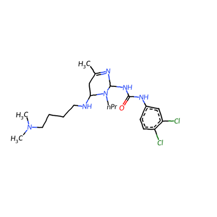 CCCN1C(NCCCCN(C)C)CC(C)=NC1NC(=O)Nc1ccc(Cl)c(Cl)c1